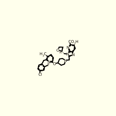 Cc1ccc(OC2CCN(Cc3nc4ccc(C(=O)O)nc4n3C[C@H]3CCO3)CC2)nc1Cc1ccc(Cl)cc1F